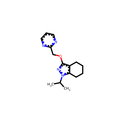 CC(C)n1nc(OCc2ncccn2)c2c1CCCC2